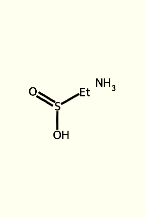 CCS(=O)O.N